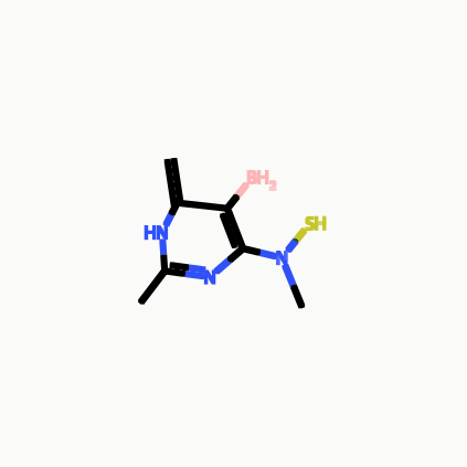 BC1=C(N(C)S)N=C(C)NC1=C